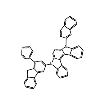 c1ccc(-c2cc(-n3c4ccccc4c4c5c6ccccc6n(-c6ccc7ccccc7c6)c5ccc43)cc3c2Cc2ccccc2-3)cc1